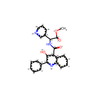 COC(=O)C(NC(=O)c1c(O)c(-c2ccccc2)nc2ccccc12)c1cccnc1